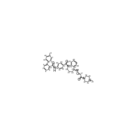 Cc1ccc(-c2ccccc2C(=O)Nc2ccc(C(=O)N3CCCC(=NOCC(=O)N4CCN(C)CC4)c4ccccc43)cc2)cc1